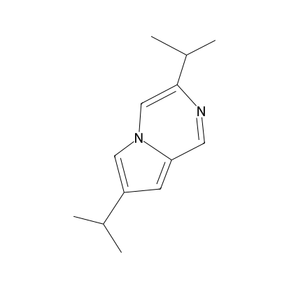 CC(C)c1cc2cnc(C(C)C)cn2c1